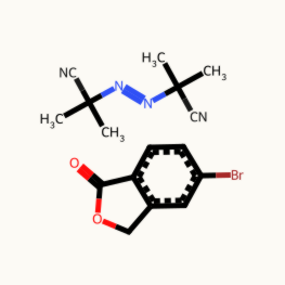 CC(C)(C#N)/N=N/C(C)(C)C#N.O=C1OCc2cc(Br)ccc21